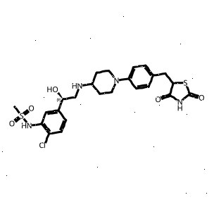 CS(=O)(=O)Nc1cc([C@@H](O)CNC2CCN(c3ccc(CC4SC(=O)NC4=O)cc3)CC2)ccc1Cl